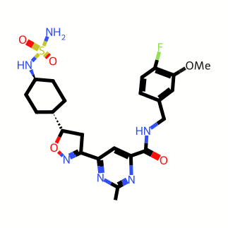 COc1cc(CNC(=O)c2cc(C3=NOC([C@H]4CC[C@H](NS(N)(=O)=O)CC4)C3)nc(C)n2)ccc1F